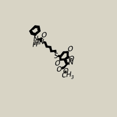 COC(=O)c1noc2c1C(=O)C(SCCCCCNC(=O)Nc1ccccc1)=CC2=O